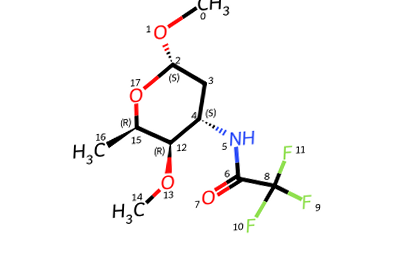 CO[C@@H]1C[C@H](NC(=O)C(F)(F)F)[C@@H](OC)[C@@H](C)O1